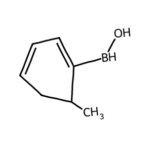 CC1CC=CC=C1BO